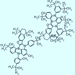 Cc1cc2c3c(c1)N(c1ccc(C(C)(C)CCC4(C)CCC(C)(C)c5cc6c7c(oc6cc54)B4c5cc(C(C)(C)C)ccc5N(c5cc(C(C)(C)C)cc(C(C)(C)C)c5)c5cc(C(C)(C)C)cc(c54)N7c4cc(C(C)(C)C)cc(C(C)(C)C)c4)cc1)c1c(oc4cc5c(cc14)C(C)(C)CCC5(C)C)B3c1cc(C(C)(C)C)ccc1N2c1ccc(C(C)(C)C)cc1C